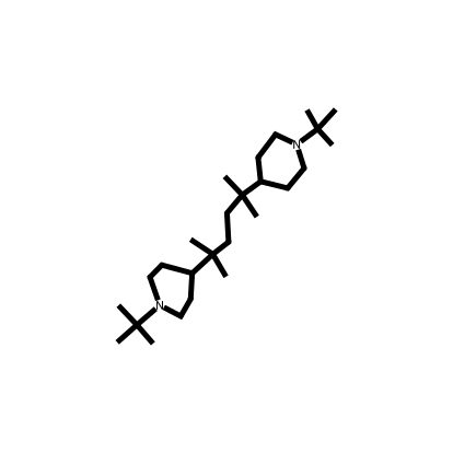 CC(C)(CCC(C)(C)C1CCN(C(C)(C)C)CC1)C1CCN(C(C)(C)C)CC1